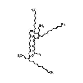 CCCCCCCCCCC(CCC)=C(CCCCCCCCCC)OC(C)OCOCOC(C)OC(CCCCCCCCCC)=C(CCC)CCCCCCCCCC